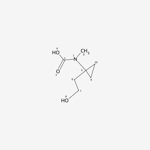 CN(C(=O)O)C1(CCO)CC1